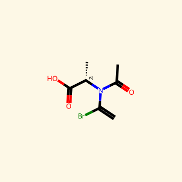 C=C(Br)N(C(C)=O)[C@@H](C)C(=O)O